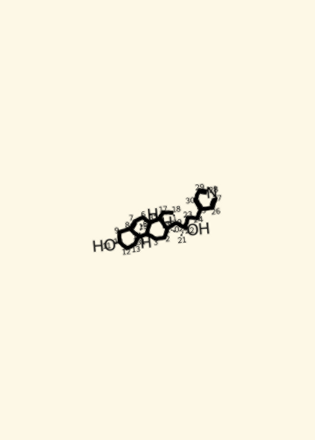 C[C@]12CC[C@H]3[C@@H](CC=C4C[C@@H](O)CC[C@@]43C)[C@@H]1CC[C@@H]2[C@](C)(O)CCc1ccncc1